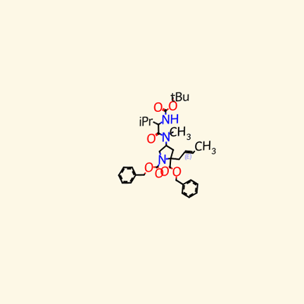 C/C=C/CC1(C(=O)OCc2ccccc2)CC(N(C)C(=O)C(NC(=O)OC(C)(C)C)C(C)C)CN1C(=O)OCc1ccccc1